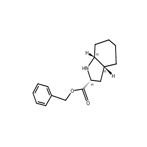 O=C(OCc1ccccc1)[C@H]1C[C@H]2CCCC[C@H]2N1